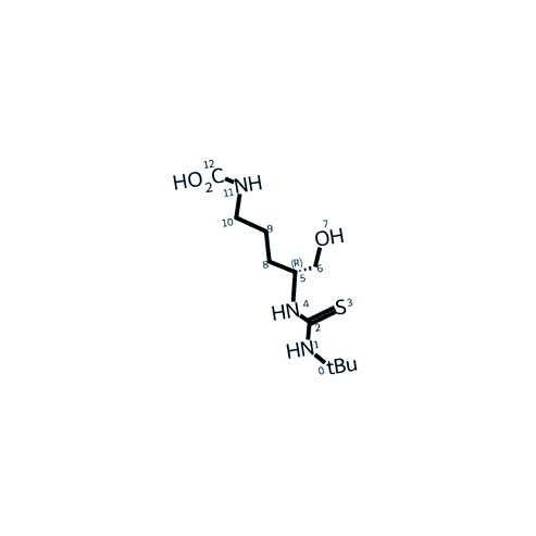 CC(C)(C)NC(=S)N[C@@H](CO)CCCNC(=O)O